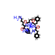 CC(C)CC(NC(=O)C(Cc1ccccc1)NC(=O)C(N)Cc1ccccc1)C(=O)NC(CCCCN)C(=O)N1CC2CC(C1)N2